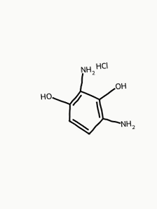 Cl.Nc1ccc(O)c(N)c1O